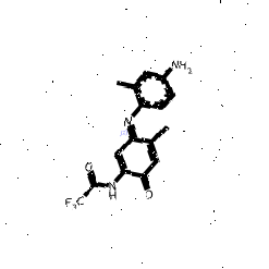 CC1=CC(=O)C(NC(=O)C(F)(F)F)=C/C1=N/c1ccc(N)cc1C